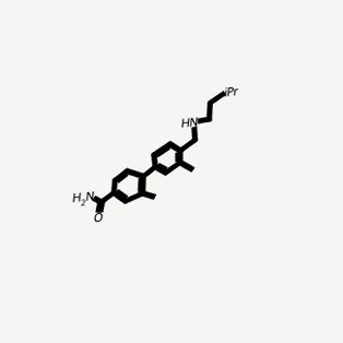 Cc1cc(-c2ccc(C(N)=O)cc2C)ccc1CNCCC(C)C